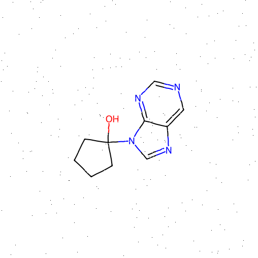 OC1(n2cnc3cncnc32)CCCC1